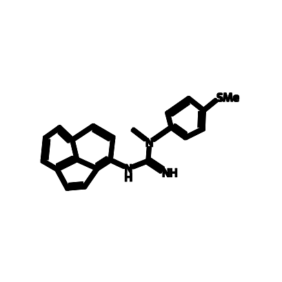 CSc1ccc(N(C)C(=N)Nc2ccc3cccc4c3c2C=C4)cc1